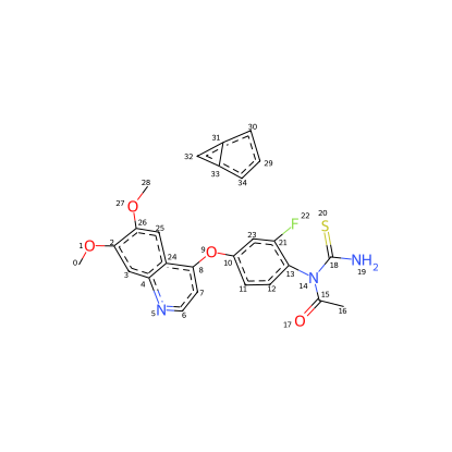 COc1cc2nccc(Oc3ccc(N(C(C)=O)C(N)=S)c(F)c3)c2cc1OC.c1cc2cc-2c1